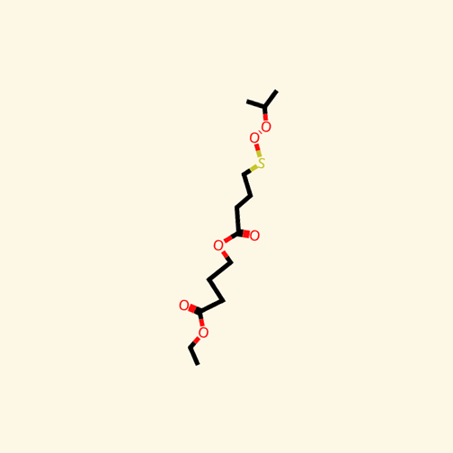 CCOC(=O)CCCOC(=O)CCCSOOC(C)C